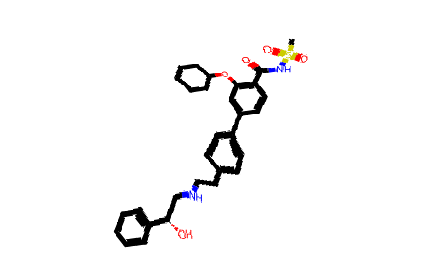 CS(=O)(=O)NC(=O)c1ccc(-c2ccc(CCNC[C@H](O)c3ccccc3)cc2)cc1OC1CCCCC1